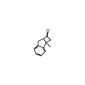 CC12CC(=O)C1Cc1ccccc12